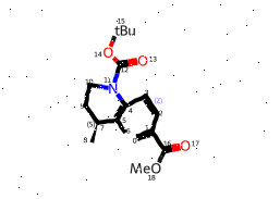 C=C(/C=C\C1=C(C)[C@@H](C)CCN1C(=O)OC(C)(C)C)C(=O)OC